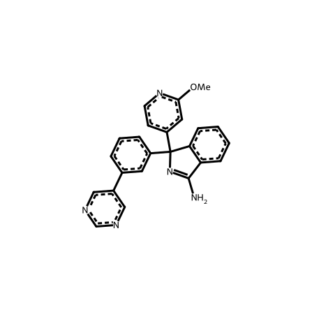 COc1cc(C2(c3cccc(-c4cncnc4)c3)N=C(N)c3ccccc32)ccn1